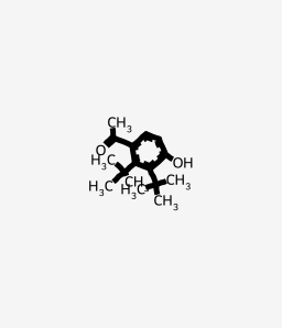 CC(=O)c1ccc(O)c(C(C)(C)C)c1C(C)(C)C